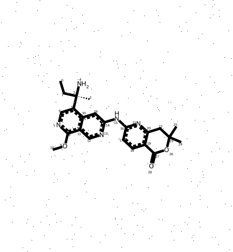 CC[C@@](C)(N)c1cnc(OC)c2cnc(Nc3ccc4c(n3)CC(C)(C)OC4=O)cc12